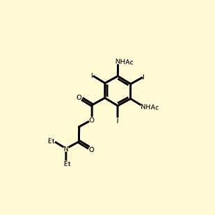 CCN(CC)C(=O)COC(=O)c1c(I)c(NC(C)=O)c(I)c(NC(C)=O)c1I